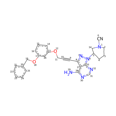 N#CN1CCCC(n2nc(C#CCOc3cccc(OCc4ccccc4)c3)c3c(N)ncnc32)C1